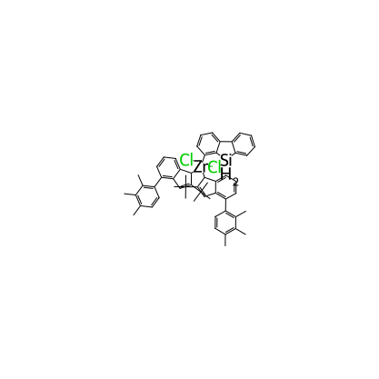 Cc1ccc(-c2cccc3c2C=C(C(C)(C)C)[CH]3[Zr]([Cl])([Cl])([c]2cccc3c2[SiH2]c2ccccc2-3)[CH]2C(C(C)(C)C)=Cc3c(-c4ccc(C)c(C)c4C)cccc32)c(C)c1C